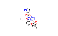 COc1cccc(OC)c1-n1c(NS(=O)(=O)[C@@H]2CCCNC2)nnc1-c1ccco1